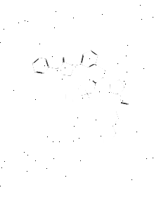 CCCCOC(=O)N1CC[C@H]([C@H](Cc2cccc(N3CCN(c4cccc(O)c4)C3=O)c2)C(=O)OC(C)(C)C)C1